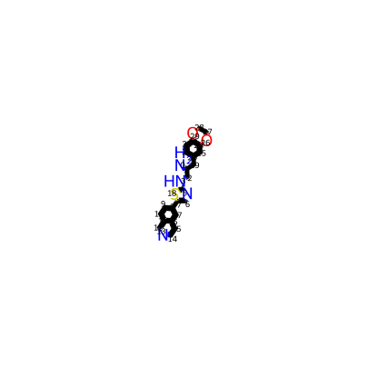 NC(CNc1ncc(-c2ccc3cnccc3c2)s1)Cc1ccc2c(c1)OCCO2